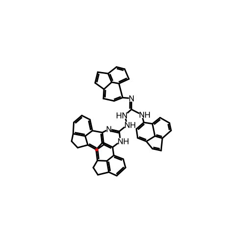 C1=Cc2ccc(N=C(NNC(=Nc3ccc4c5c(cccc35)CC4)Nc3ccc4c5c(cccc35)CC4)Nc3ccc4c5c(cccc35)C=C4)c3cccc1c23